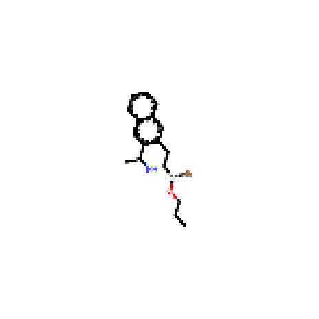 CCC[O][Sn]([Br])[CH2]Cc1cc2ccccc2cc1C(C)N